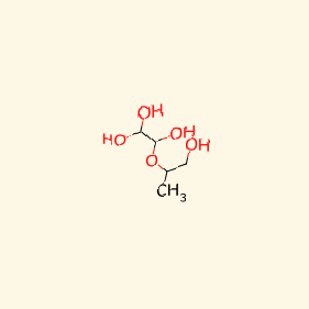 CC(CO)OC(O)C(O)O